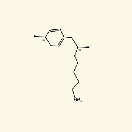 C[C@@H](CCCCCN)CC1=CC[C@@H](C)C=C1